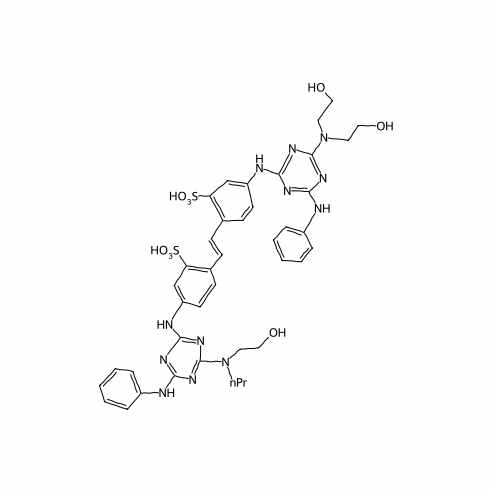 CCCN(CCO)c1nc(Nc2ccccc2)nc(Nc2ccc(/C=C/c3ccc(Nc4nc(Nc5ccccc5)nc(N(CCO)CCO)n4)cc3S(=O)(=O)O)c(S(=O)(=O)O)c2)n1